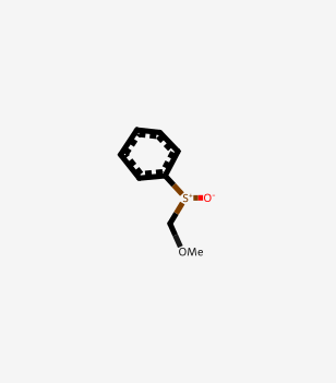 COC[S+]([O-])c1cc[c]cc1